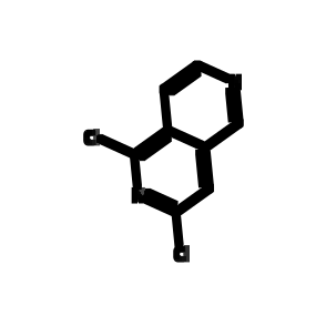 Clc1cc2cnccc2c(Cl)n1